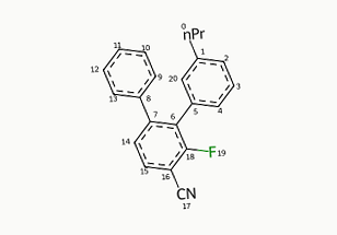 CCCc1cccc(-c2c(-c3ccccc3)ccc(C#N)c2F)c1